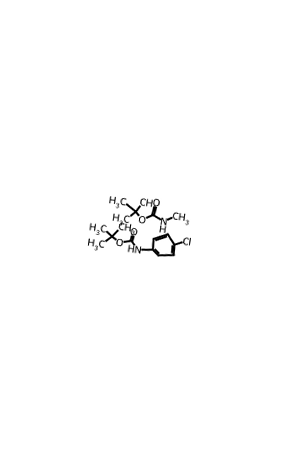 CC(C)(C)OC(=O)Nc1ccc(Cl)cc1.CNC(=O)OC(C)(C)C